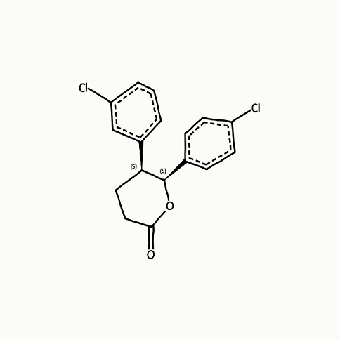 O=C1CC[C@@H](c2cccc(Cl)c2)[C@@H](c2ccc(Cl)cc2)O1